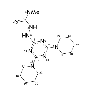 CNC(=S)NNc1nc(N2CCCCC2)nc(N2CCCCC2)n1